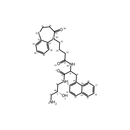 NC[C@@H](O)CNC(=O)C(Cc1cccc2ccccc12)NC(=O)CCCN1C(=O)CCSc2ccccc21